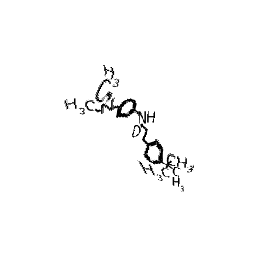 CCN(CC)c1ccc(NC(=O)/C=C/c2ccc(C(C)(C)C)cc2)cc1